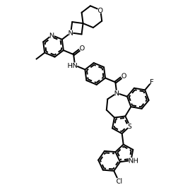 Cc1cnc(N2CC3(CCOCC3)C2)c(C(=O)Nc2ccc(C(=O)N3CCc4cc(-c5c[nH]c6c(Cl)cccc56)sc4-c4ccc(F)cc43)cc2)c1